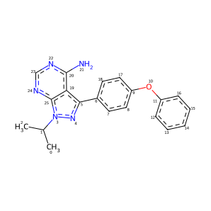 CC(C)n1nc(-c2ccc(Oc3ccccc3)cc2)c2c(N)ncnc21